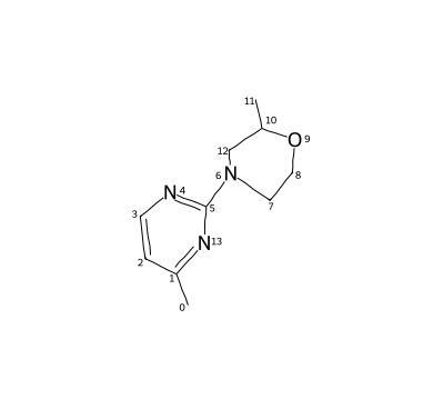 Cc1ccnc(N2CCOC(C)C2)n1